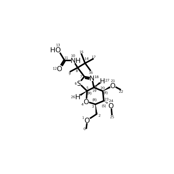 COC[C@H]1O[C@@H]2SC(C(C)(NC(=O)O)C(C)(C)C)=N[C@@H]2[C@@H](OC)[C@@H]1OC